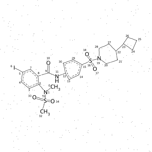 CN(c1ccc(I)cc1C(=O)Nc1ccc(S(=O)(=O)N2CCC(C3CCC3)CC2)cc1)S(C)(=O)=O